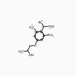 Cc1cc(OCC(C)O)cc(C)c1C(Br)C=O